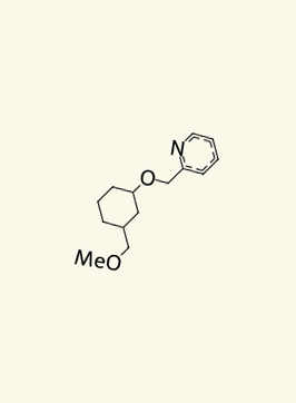 COCC1CCCC(OCc2ccccn2)C1